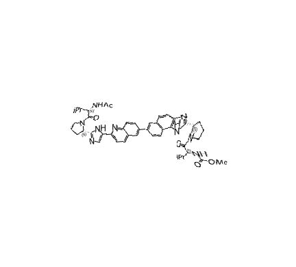 COC(=O)N[C@H](C(=O)N1CCC[C@H]1c1nc2ccc3cc(-c4ccc5nc(-c6cnc([C@@H]7CCCN7C(=O)[C@@H](NC(C)=O)C(C)C)[nH]6)ccc5c4)ccc3c2[nH]1)C(C)C